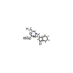 C/C=C/[C@@H](Cc1c[nH]c2ccccc12)NC(=O)OC(C)(C)C